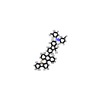 Cc1cccc(N(c2cccc(C)c2)c2ccc3c(c2)C(C)(C)c2cc(-c4c5ccccc5c(-c5cccc6c5sc5ccccc56)c5ccccc45)ccc2-3)c1